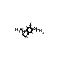 COc1cc2c(cc1F)N(C)CCO2